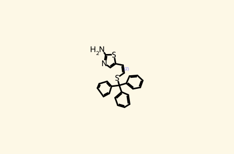 Nc1ncc(/C=C\SC(c2ccccc2)(c2ccccc2)c2ccccc2)s1